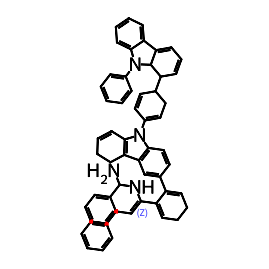 NC(N/C(=C\Cc1ccccc1)C1=CCCC=C1c1ccc2c(c1)c1c(n2C2=CCC(C3C=CC=C4c5ccccc5N(c5ccccc5)C43)C=C2)C=CCC1)c1ccccc1